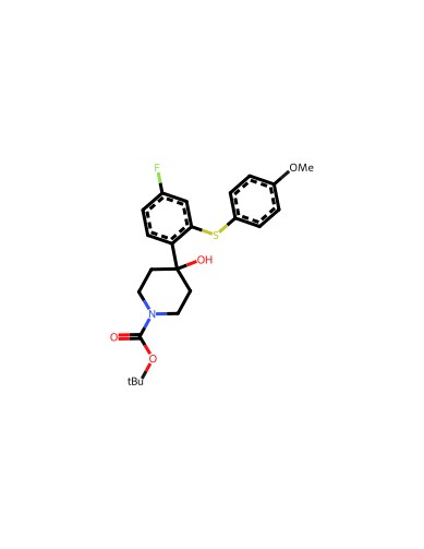 COc1ccc(Sc2cc(F)ccc2C2(O)CCN(C(=O)OC(C)(C)C)CC2)cc1